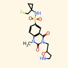 Cn1c(=O)n(CC2CCNO2)c(=O)c2cc(S(=O)(=O)NC3(CF)CC3)ccc21